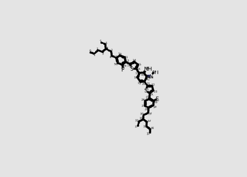 CCCCC(CC)CCc1ccc(-c2ccc(C3=CC=C(c4ccc(-c5ccc(CCC(CC)CCCC)cc5F)s4)/C(=N/S)C3=N)s2)c(F)c1